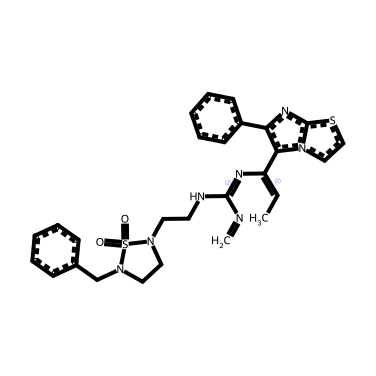 C=N/C(=N\C(=C/C)c1c(-c2ccccc2)nc2sccn12)NCCN1CCN(Cc2ccccc2)S1(=O)=O